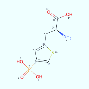 N[C@@H](Cc1cc(P(=O)(O)O)cs1)C(=O)O